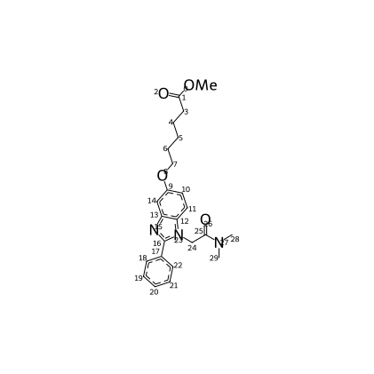 COC(=O)CCCCCOc1ccc2c(c1)nc(-c1ccccc1)n2CC(=O)N(C)C